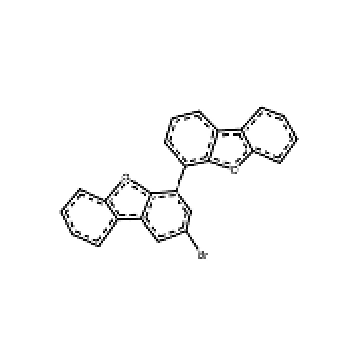 Brc1cc(-c2cccc3c2oc2ccccc23)c2oc3ccccc3c2c1